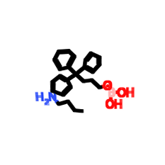 CCCCN.OB(O)OCCCC(c1ccccc1)(c1ccccc1)c1ccccc1